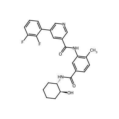 Cc1ccc(C(=O)N[C@H]2CCCC[C@@H]2O)cc1NC(=O)c1cncc(-c2cccc(F)c2F)c1